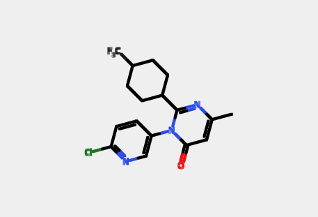 Cc1cc(=O)n(-c2ccc(Cl)nc2)c(C2CCC(C(F)(F)F)CC2)n1